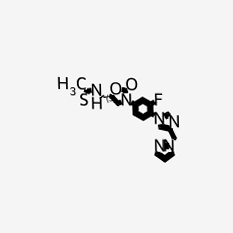 CC(=S)NC[C@H]1CN(c2ccc(-n3cnc(Cn4cccn4)c3)c(F)c2)C(=O)O1